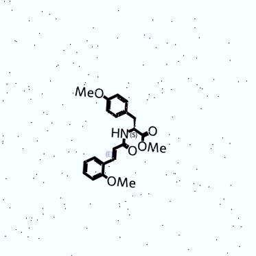 COC(=O)[C@H](Cc1ccc(OC)cc1)NC(=O)/C=C/c1ccccc1OC